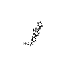 O=C(O)c1ccc(-c2ccc3c(c2)ncn3CC2CCCCC2)cc1